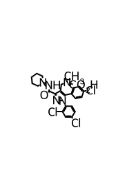 CN(Cc1c(C(=O)NN2CCCCC2)nn(-c2ccc(Cl)cc2Cl)c1-c1ccc(Cl)cc1)C(=O)O